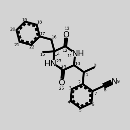 CC(c1ccccc1C#N)C1NC(=O)C(C)(Cc2ccccc2)NC1=O